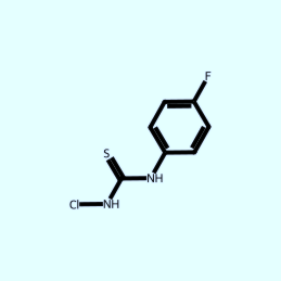 Fc1ccc(NC(=S)NCl)cc1